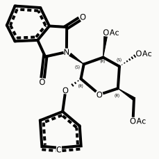 CC(=O)OC[C@H]1O[C@H](Oc2ccccc2)[C@@H](N2C(=O)c3ccccc3C2=O)[C@@H](OC(C)=O)[C@@H]1OC(C)=O